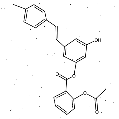 CC(=O)Oc1ccccc1C(=O)Oc1cc(O)cc(/C=C/c2ccc(C)cc2)c1